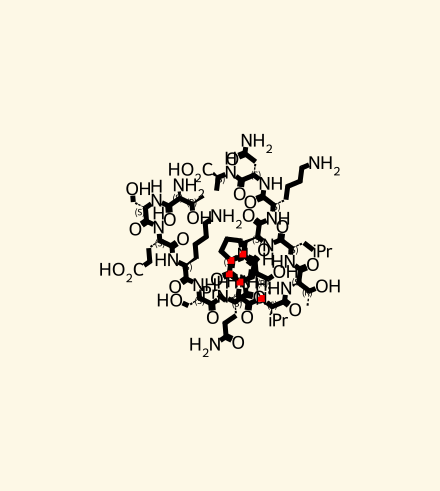 CC(C)C[C@H](NC(=O)[C@@H](NC(=O)[C@@H](NC(=O)[C@H](CC(C)C)NC(=O)[C@@H]1CCCN1C(=O)[C@@H](NC(=O)[C@H](CCC(N)=O)NC(=O)[C@H](CO)NC(=O)[C@H](CCCCN)NC(=O)[C@H](CCC(=O)O)NC(=O)[C@H](CO)NC(=O)[C@@H](N)[C@@H](C)O)[C@@H](C)O)C(C)C)[C@@H](C)O)C(=O)N[C@@H](Cc1ccccc1)C(=O)N[C@@H](CCCCN)C(=O)N[C@@H](CC(N)=O)C(=O)N[C@@H](C)C(=O)O